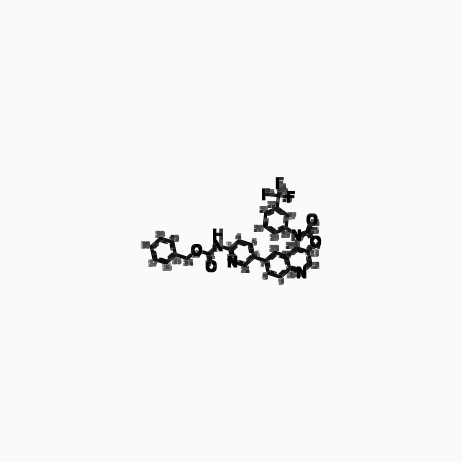 O=C(Nc1ccc(-c2ccc3ncc4oc(=O)n(-c5cccc(C(F)(F)F)c5)c4c3c2)cn1)OCc1ccccc1